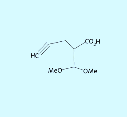 C#CCC(C(=O)O)C(OC)OC